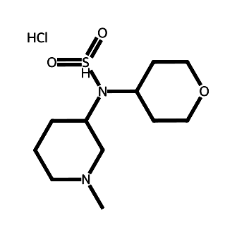 CN1CCCC(N(C2CCOCC2)[SH](=O)=O)C1.Cl